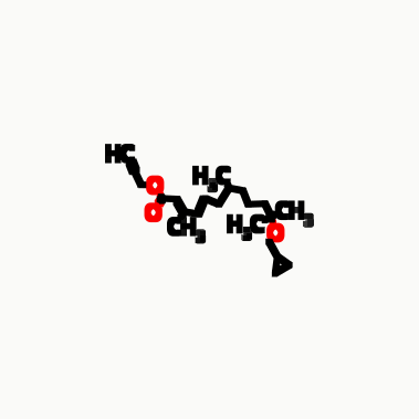 C#CCOC(=O)C=C(C)C=CCC(C)CCCC(C)(C)OCC1CC1